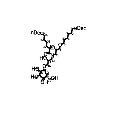 CCCCCCCCCCCCCCCCOCC(O)CN(CC(O)CO[C@@H]1O[C@H](CO)[C@@H](O)[C@H](O)[C@H]1O)C(=O)CCCCCCCCCCCCCCC